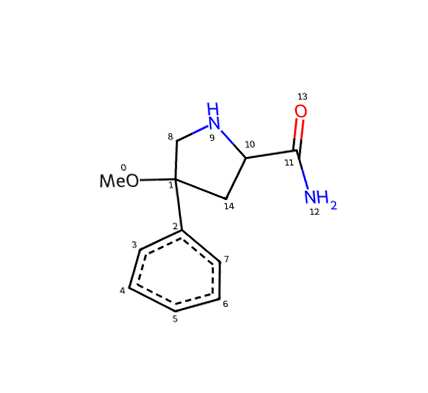 COC1(c2ccccc2)CNC(C(N)=O)C1